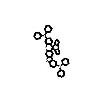 c1ccc(N(c2ccccc2)c2ccc3c(c2)Sc2cc4oc5ccc(N(c6ccccc6)c6ccccc6)cc5c4cc2C32c3ccccc3-c3ccccc32)cc1